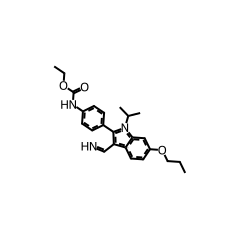 CCCOc1ccc2c(C=N)c(-c3ccc(NC(=O)OCC)cc3)n(C(C)C)c2c1